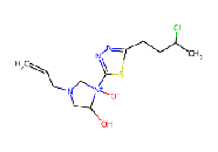 C=CCN1CC(O)[N+]([O-])(c2nnc(CCC(C)Cl)s2)C1